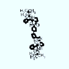 CC(C)(C)OC(=O)N[C@@H](C(=O)N1CCC[C@H]1C(=O)N[C@H]1CC[C@H](c2cccc(-c3cnc([C@@H]4CCCN4C(=O)[C@H](NC(=O)OC(C)(C)C)c4ccccc4)[nH]3)c2)CC1)c1ccccc1